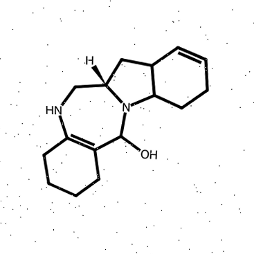 OC1C2=C(CCCC2)NC[C@@H]2CC3C=CCCC3N12